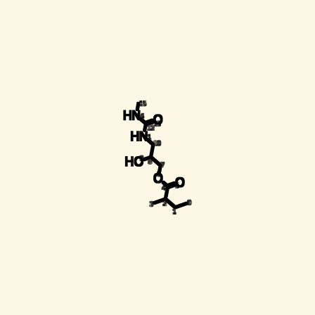 CCC(C)C(=O)OCC(O)CNC(=O)NC